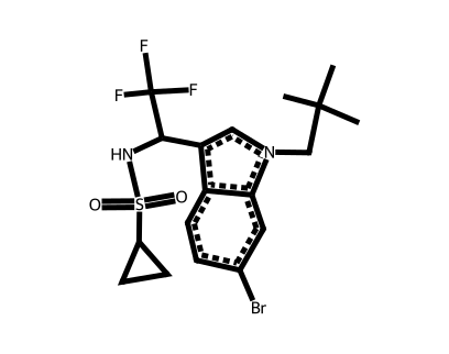 CC(C)(C)Cn1cc(C(NS(=O)(=O)C2CC2)C(F)(F)F)c2ccc(Br)cc21